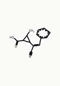 CC1C(C(=O)O)C1/C(C#N)=C\c1ccccc1